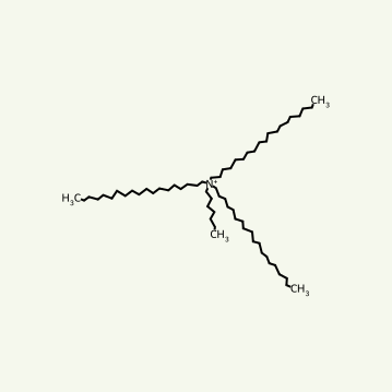 CCCCCCCCCCCCCCCCCCC[N+](CCCCCCC)(CCCCCCCCCCCCCCCCCCC)CCCCCCCCCCCCCCCCCCC